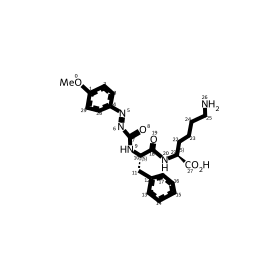 COc1ccc(N=NC(=O)N[C@@H](Cc2ccccc2)C(=O)N[C@@H](CCCCN)C(=O)O)cc1